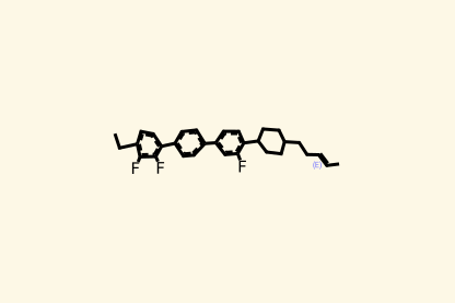 C/C=C/CCC1CCC(c2ccc(-c3ccc(-c4ccc(CC)c(F)c4F)cc3)cc2F)CC1